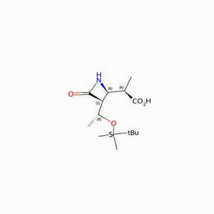 C[C@@H](O[Si](C)(C)C(C)(C)C)[C@H]1C(=O)N[C@H]1[C@@H](C)C(=O)O